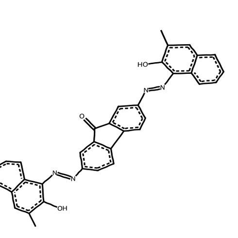 Cc1cc2ccccc2c(N=Nc2ccc3c(c2)C(=O)c2cc(N=Nc4c(O)c(C)cc5ccccc45)ccc2-3)c1O